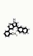 Cc1ccccc1-c1cnc2[nH]cc(-c3ccc4ncccc4c3)c2c1